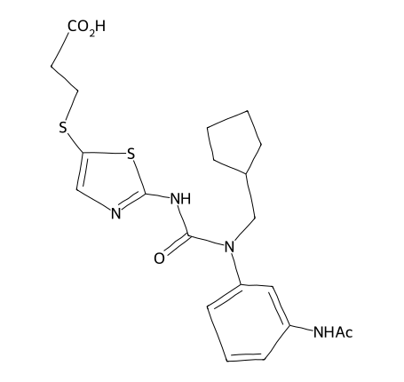 CC(=O)Nc1cccc(N(CC2CCCC2)C(=O)Nc2ncc(SCCC(=O)O)s2)c1